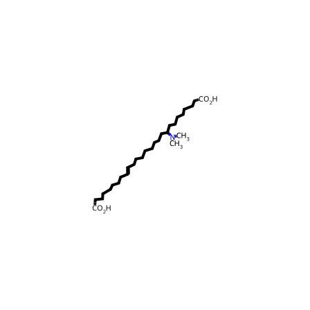 CN(C)C(CCCCCCCCC=CCCCCCCCC(=O)O)CCCCCCCC(=O)O